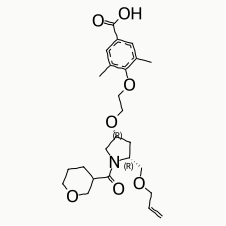 C=CCOC[C@H]1C[C@@H](OCCOc2c(C)cc(C(=O)O)cc2C)CN1C(=O)C1CCCOC1